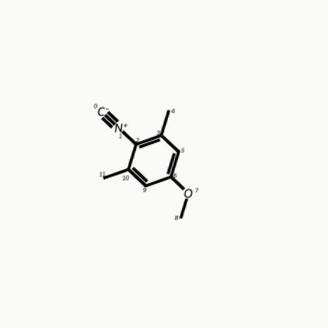 [C-]#[N+]c1c(C)cc(OC)cc1C